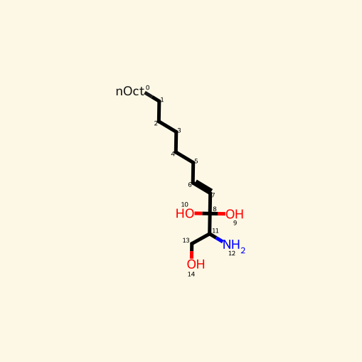 CCCCCCCCCCCCCC=CC(O)(O)C(N)CO